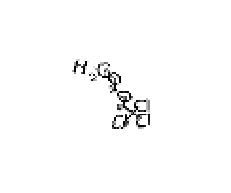 [CH2]OCOCC(Cl)(Cl)Cl